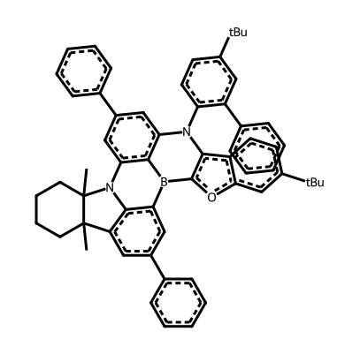 CC(C)(C)c1ccc(N2c3cc(-c4ccccc4)cc4c3B(c3cc(-c5ccccc5)cc5c3N4C3(C)CCCCC53C)c3oc4cc(C(C)(C)C)ccc4c32)c(-c2ccccc2)c1